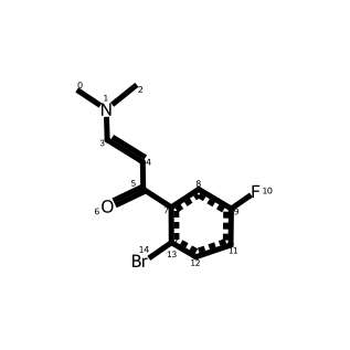 CN(C)C=CC(=O)c1cc(F)ccc1Br